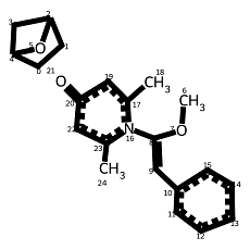 C1CC2CC1O2.COC(=Cc1ccccc1)n1c(C)cc(=O)cc1C